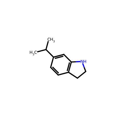 CC(C)c1ccc2c(c1)NCC2